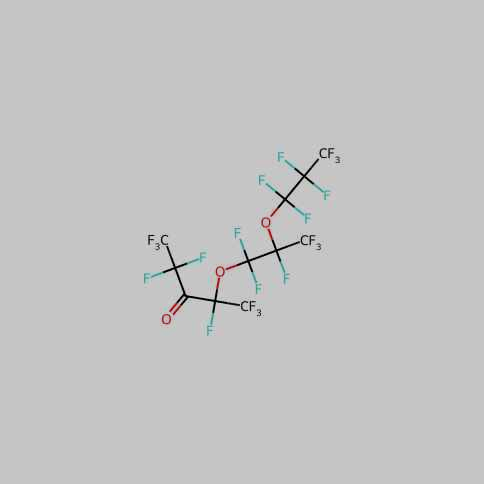 O=C(C(F)(F)C(F)(F)F)C(F)(OC(F)(F)C(F)(OC(F)(F)C(F)(F)C(F)(F)F)C(F)(F)F)C(F)(F)F